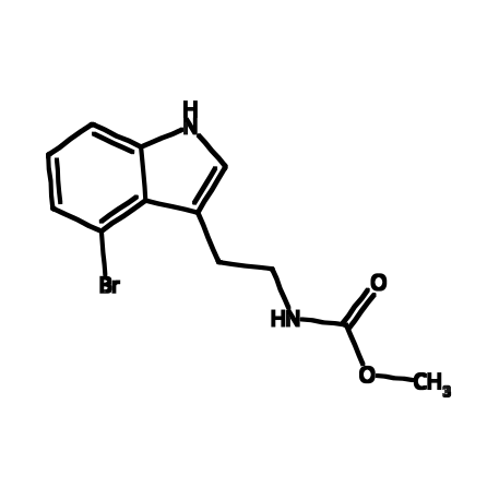 COC(=O)NCCc1c[nH]c2cccc(Br)c12